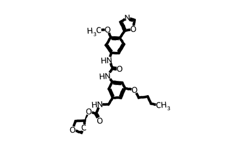 CCCCOc1cc(CNC(=O)O[C@H]2CCOC2)cc(NC(=O)Nc2ccc(-c3cnco3)c(OC)c2)c1